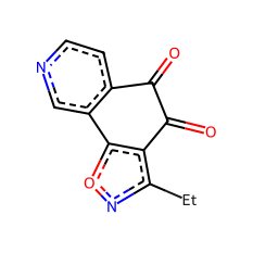 CCc1noc2c1C(=O)C(=O)c1ccncc1-2